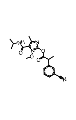 COn1c(OC(=O)C(C)c2cccc(C#N)c2)nc(C)c1C(=O)NC(C)C